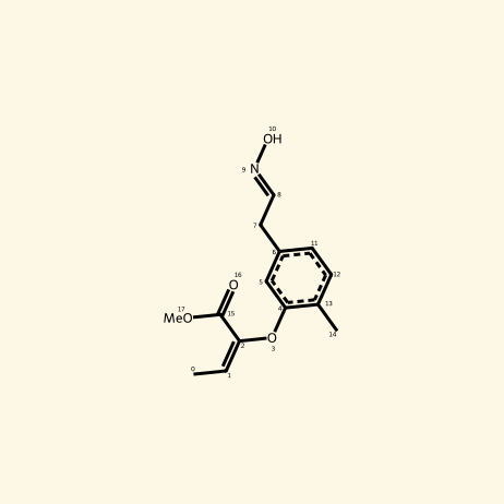 CC=C(Oc1cc(CC=NO)ccc1C)C(=O)OC